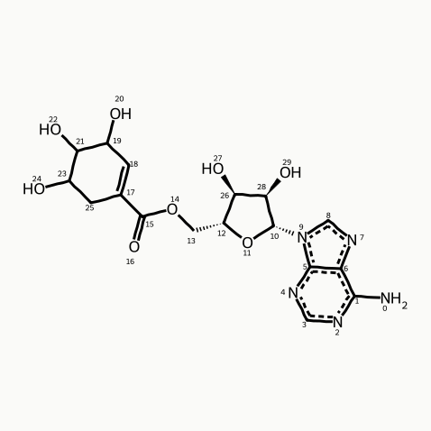 Nc1ncnc2c1ncn2[C@@H]1O[C@H](COC(=O)C2=CC(O)C(O)C(O)C2)[C@@H](O)[C@H]1O